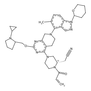 C=CC(=O)N1CCN(c2nc(OCC3CCCN3C3CC3)nc3c2CCN(c2c(C)ccc4c2cnn4C2CCCCO2)C3)C[C@@H]1CC#N